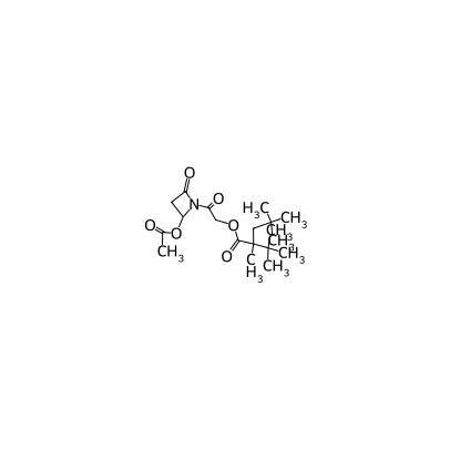 CC(=O)OC1CC(=O)N1C(=O)COC(=O)C(C)(CC(C)(C)C)C(C)(C)C